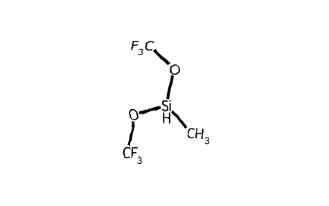 C[SiH](OC(F)(F)F)OC(F)(F)F